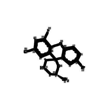 N[C@@H]1CNCC2(O1)c1cc(Br)ccc1Oc1c2cc(Cl)nc1F